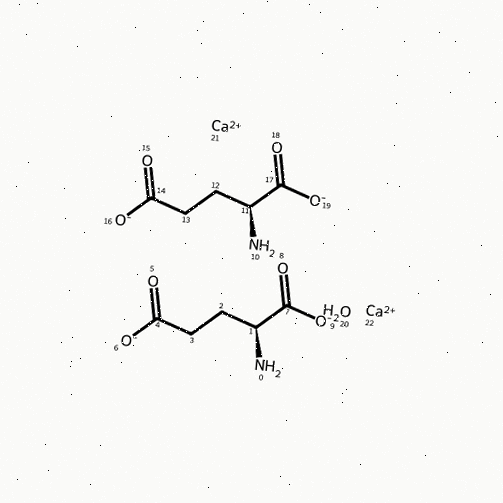 N[C@@H](CCC(=O)[O-])C(=O)[O-].N[C@@H](CCC(=O)[O-])C(=O)[O-].O.[Ca+2].[Ca+2]